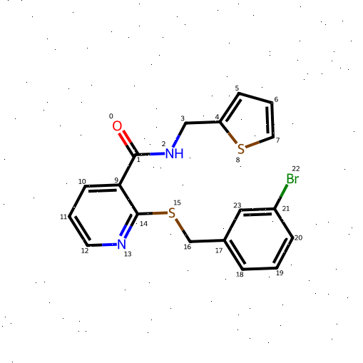 O=C(NCc1cccs1)c1cccnc1SCc1cccc(Br)c1